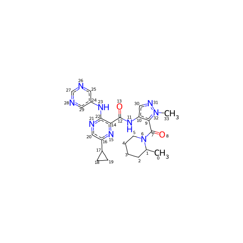 CC1CCCCN1C(=O)c1c(NC(=O)c2nc(C3CC3)cnc2Nc2cncnc2)cnn1C